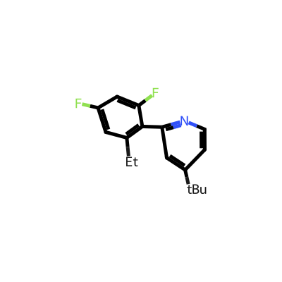 CCc1cc(F)cc(F)c1-c1cc(C(C)(C)C)ccn1